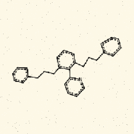 c1ccc(CCCc2cccc(CCCc3ccccc3)c2-c2ccccn2)cc1